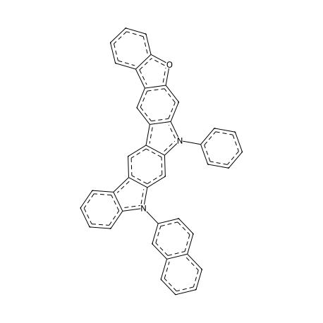 c1ccc(-n2c3cc4oc5ccccc5c4cc3c3cc4c5ccccc5n(-c5ccc6ccccc6c5)c4cc32)cc1